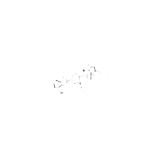 CCCOC1CN(c2nc3cccc(C(=O)O)c3s2)CCC1NC(=O)c1nc(Cl)c(CC)[nH]1